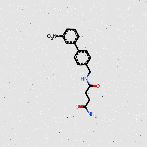 NC(=O)CCC(=O)NCc1ccc(-c2cccc([N+](=O)[O-])c2)cc1